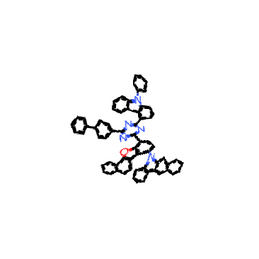 c1ccc(-c2ccc(-c3nc(-c4ccc(-n5c6ccccc6c6cc7ccccc7cc65)c5c4oc4c6ccccc6ccc45)nc(-c4cccc5c4c4ccccc4n5-c4ccccc4)n3)cc2)cc1